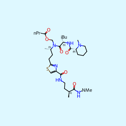 CCCC(=O)OCN(C(=O)[C@@H](NC(=O)[C@H]1CCCCN1C)C(C)CC)[C@@H](C)CCc1nc(C(=O)NCC[C@H](C)C(=O)NNC)cs1